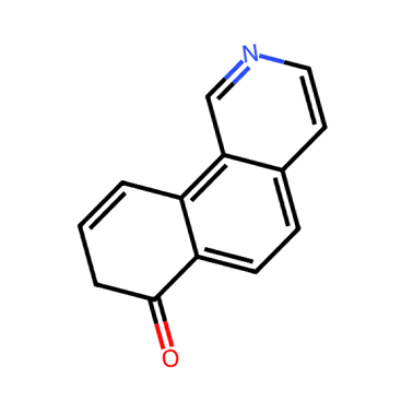 O=C1CC=Cc2c1ccc1ccncc21